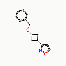 c1ccc(CO[C@H]2C[C@@H](c3ccon3)C2)cc1